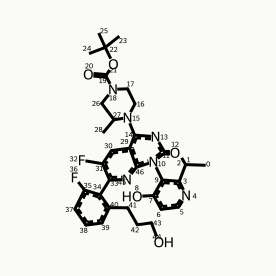 CC(C)c1nccc(O)c1-n1c(=O)nc(N2CCN(C(=O)OC(C)(C)C)CC2C)c2cc(F)c(-c3c(F)cccc3CCCO)nc21